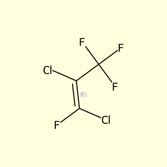 F/C(Cl)=C(\Cl)C(F)(F)F